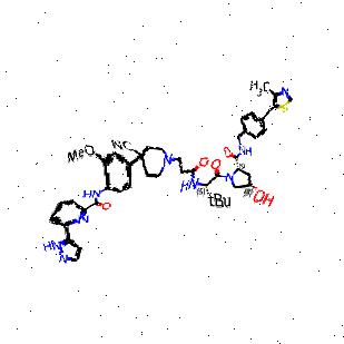 COc1cc(C2(C#N)CCN(CCC(=O)N[C@H](C(=O)N3C[C@H](O)C[C@H]3C(=O)NCc3ccc(-c4scnc4C)cc3)C(C)(C)C)CC2)ccc1NC(=O)c1cccc(-c2ccn[nH]2)n1